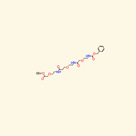 CC(C)(C)OC(=O)COCCNC(=O)CCOCCNC(=O)COCCNC(=O)OCc1ccccc1